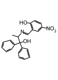 CC(N=Cc1cc([N+](=O)[O-])ccc1O)C(O)(c1ccccc1)c1ccccc1